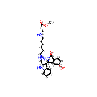 CC(C)(C)OC(=O)CCNCCCCCCNCc1[nH]c2ccccc2c1C1NC(=O)c2ccc(O)cc21